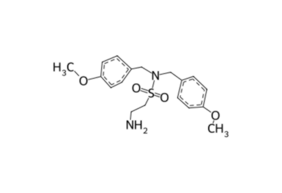 COc1ccc(CN(Cc2ccc(OC)cc2)S(=O)(=O)CCN)cc1